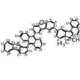 CC1(C)c2ccc(-c3ccc4oc5ccc(-c6c7ccccc7c(-c7cccc8c7sc7ccccc78)c7ccccc67)cc5c4c3)cc2-c2c1ccc1ccccc21